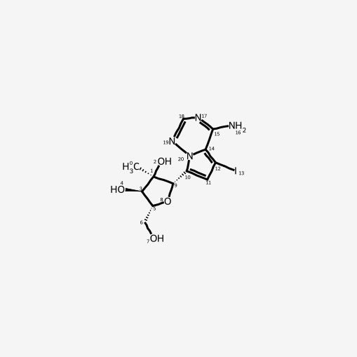 C[C@@]1(O)[C@H](O)[C@@H](CO)O[C@H]1c1cc(I)c2c(N)ncnn12